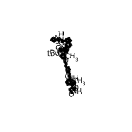 Cc1c(OCCCC2CCN(CC(=O)Nc3cccc4c(C5CCC(=O)NC5=O)nn(C)c34)CC2)cccc1-c1ccc(N2CCc3cccc(C(=O)Nc4nc5ccccc5s4)c3C2)nc1C(=O)OC(C)(C)C